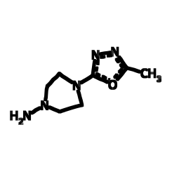 Cc1nnc(N2CCN(N)CC2)o1